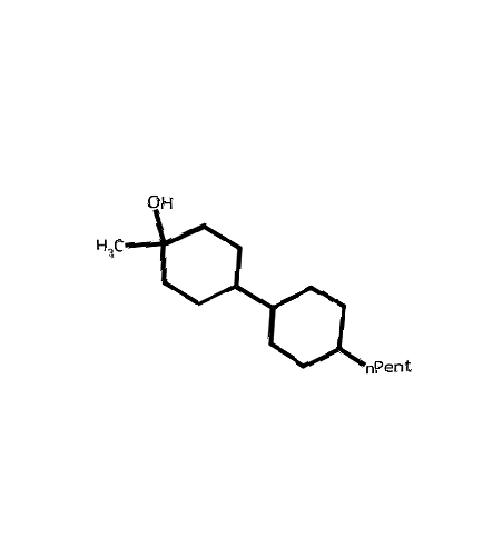 CCCCCC1CCC(C2CCC(C)(O)CC2)CC1